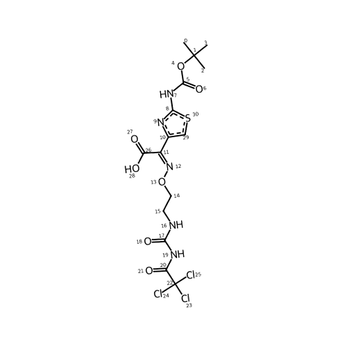 CC(C)(C)OC(=O)Nc1nc(/C(=N/OCCNC(=O)NC(=O)C(Cl)(Cl)Cl)C(=O)O)cs1